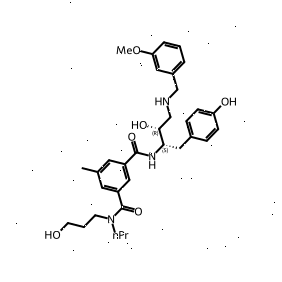 CCCN(CCCO)C(=O)c1cc(C)cc(C(=O)N[C@@H](Cc2ccc(O)cc2)[C@H](O)CNCc2cccc(OC)c2)c1